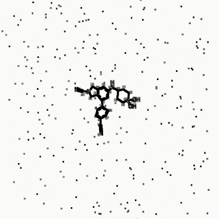 N#Cc1ccc(-c2cc(NC3CCS(O)(O)CC3)cc3c2CN(C#N)C3)cc1